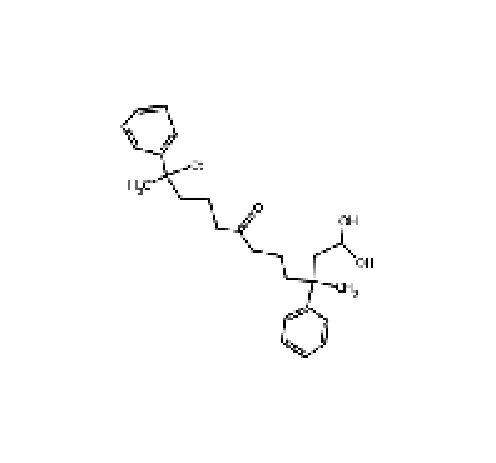 CCC(C)(CCCC(=O)CCCC(C)(CC(O)O)c1ccccc1)c1ccccc1